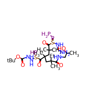 CCC(C)(CC(C)(CC(C)(C)C(=O)/S(NCN)=P\P)C(=O)S(=P)NNC(=O)OC(C)(C)C)C(=O)NCC(C)O